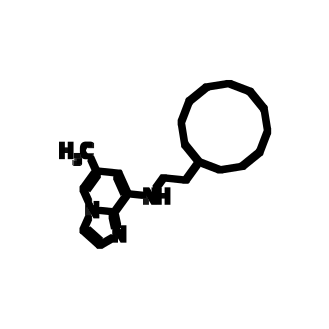 Cc1cc(NCCC2CCCCCCCCCCC2)c2nccn2c1